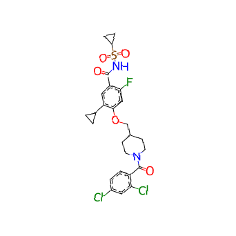 O=C(NS(=O)(=O)C1CC1)c1cc(C2CC2)c(OCC2CCN(C(=O)c3ccc(Cl)cc3Cl)CC2)cc1F